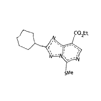 CCOC(=O)c1cnc(SC)n2nc(C3CCCCC3)nc12